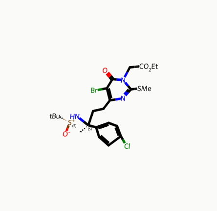 CCOC(=O)Cn1c(SC)nc(CC[C@](C)(N[S@+]([O-])C(C)(C)C)c2ccc(Cl)cc2)c(Br)c1=O